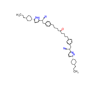 CCC[C@H]1CC[C@H](c2ccc(C(C#N)Cc3ccc(CCCCC(=O)CCCCc4ccc(CC(C#N)c5ccc([C@H]6CC[C@H](CCC)CC6)nn5)cc4)cc3)nn2)CC1